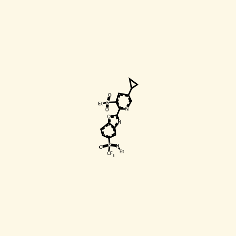 CCN=S(=O)(c1ccc2oc(-c3ncc(C4CC4)cc3S(=O)(=O)CC)nc2c1)C(F)(F)F